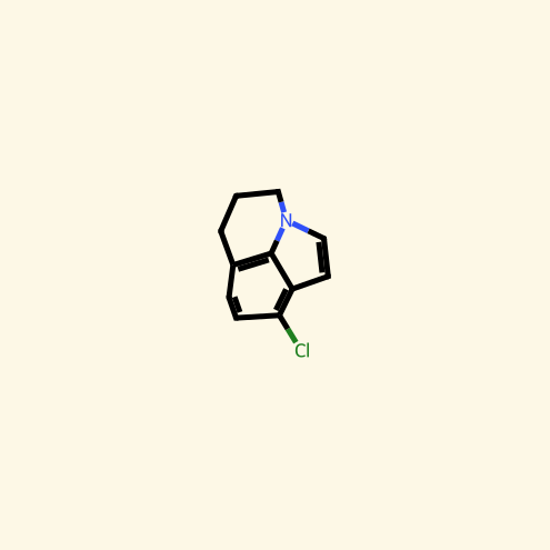 Clc1ccc2c3c1ccn3CCC2